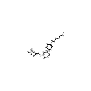 CCCCCCOc1ccc(C2CN(CCC(=O)OC(C)(C)C)CCO2)cc1